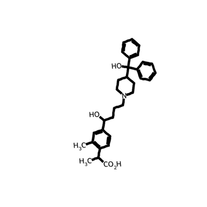 Cc1cc(C(O)CCCN2CCC(C(O)(c3ccccc3)c3ccccc3)CC2)ccc1C(C)C(=O)O